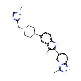 Cc1nnc2ccc(-c3[nH]c4ccc(C5CCN(Cc6ncn(C)n6)CC5)cc4c3C(C)C)cn12